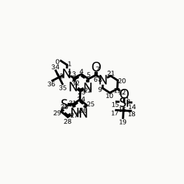 CCN(c1cc(C(=O)N2CCC(O[Si](C)(C)C(C)(C)C)CC2)nc(-c2cnn3ccsc23)n1)C(C)(C)C